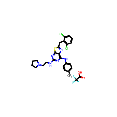 FC(F)(F)c1ccc(Nc2nc(NCCN3CCCC3)nc3sc(Cc4c(Cl)cccc4Cl)nc23)cc1.O=C(O)C(F)(F)F